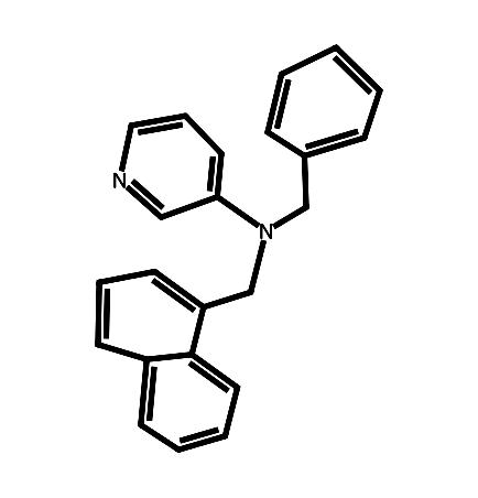 c1ccc(CN(Cc2cccc3ccccc23)c2cccnc2)cc1